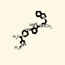 C=C(c1cnn(C)c1)N1CCC(Nc2cccc3c(NCC(C)CN4CCc5ccccc5C4)n[nH]c23)CC1